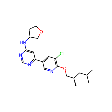 CC(C)C[C@@H](C)COc1ncc(-c2cc(NC3CCOC3)ncn2)cc1Cl